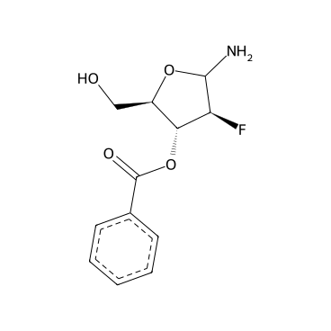 NC1O[C@H](CO)[C@@H](OC(=O)c2ccccc2)[C@@H]1F